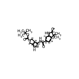 CC(C)(C)OC(=O)N1Cc2[nH]nc(NC(=O)c3ccc4c(c3)NC(=O)C4(C)C)c2C1